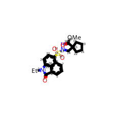 CCN1C(=O)c2cccc3c(S(=O)(=O)NCC4(C(=O)OC)CCCC4)ccc1c23